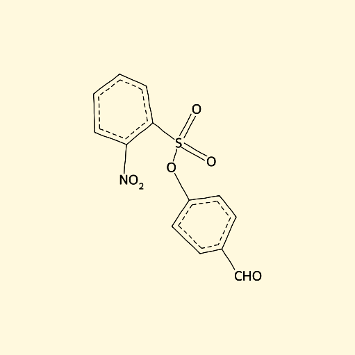 O=Cc1ccc(OS(=O)(=O)c2ccccc2[N+](=O)[O-])cc1